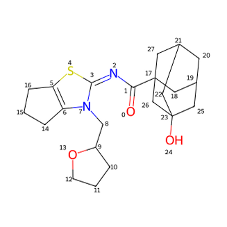 O=C(N=c1sc2c(n1CC1CCCO1)CCC2)C12CC3CC(CC(O)(C3)C1)C2